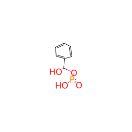 O=[P](O)OC(O)c1ccccc1